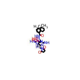 CC1(C)CCCc2c(C(=O)N[C@H]3CN4C(=N)N[C@@H](CN5C(=O)CCC5=O)[C@@H]5NC(=N)N[C@@]54C3(O)O)cccc21